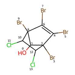 OC1C2(Br)C(Br)=C(Br)C1(Br)C(Cl)C2Cl